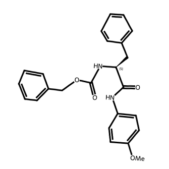 COc1ccc(NC(=O)[C@H](Cc2ccccc2)NC(=O)OCc2ccccc2)cc1